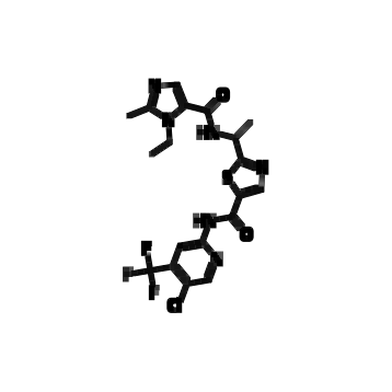 CCn1c(C(=O)NC(C)c2ncc(C(=O)Nc3cc(C(F)(F)F)c(Cl)cn3)s2)cnc1C